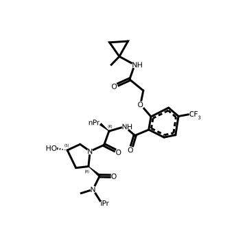 CCC[C@@H](NC(=O)c1ccc(C(F)(F)F)cc1OCC(=O)NC1(C)CC1)C(=O)N1C[C@@H](O)C[C@@H]1C(=O)N(C)C(C)C